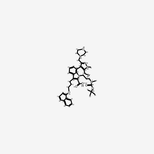 CN(CCCn1c(C(=O)O)c(CCCOc2cccc3ccccc23)c2cccc(-c3c(CN4CCOCC4)nn(C)c3CBr)c21)C(=O)OC(C)(C)C